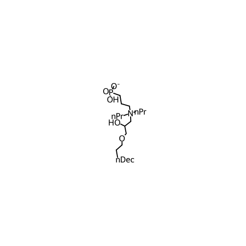 CCCCCCCCCCCCOCC(O)C[N+](CCC)(CCC)CCCP(=O)([O-])O